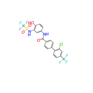 O=C(Nc1ccc(O)c(NS(=O)(=O)C(F)(F)F)c1)c1ccc(-c2ccc(C(F)(F)F)cc2Cl)cc1